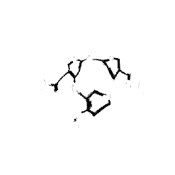 CCOc1ccncc1Nc1cc(Nc2ccc(CN)cn2)ncc1C(N)=O